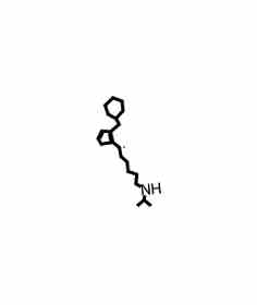 CC(C)NCCCCC[CH]C1=C(CC2CCCCC2)C=CC1